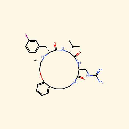 CC(C)[C@H]1NC(=O)[C@@H](Cc2cccc(I)c2)N[C@@H](C)COc2ccccc2CCCNC(=O)[C@H](CNC(=N)N)NC1=O